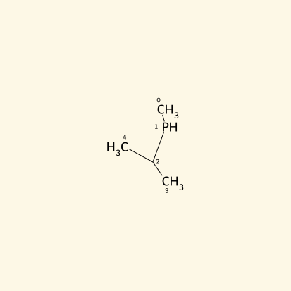 CPC(C)C